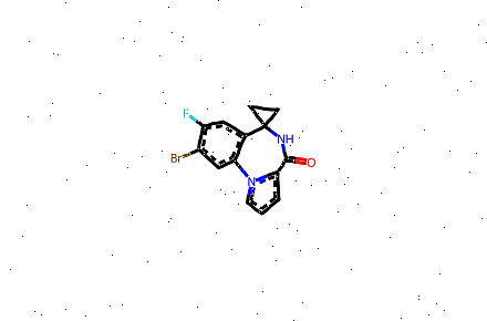 O=C1NC2(CC2)c2cc(F)c(Br)cc2-n2cccc21